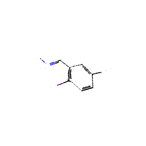 Bc1ccc(I)c(/C=N/C(C)(C)C)c1